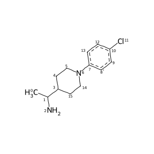 CC(N)C1CCN(c2[c]cc(Cl)cc2)CC1